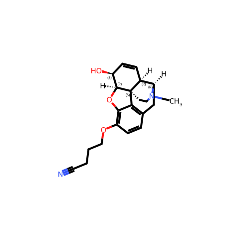 CN1CC[C@]23c4c5ccc(OCCCC#N)c4O[C@H]2[C@@H](O)C=C[C@H]3[C@H]1C5